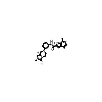 Cc1ccc(F)c2cc(C(=O)N[C@@H]3CCC[C@H](N4CCN5C(=O)N(C)C[C@@H]5C4)C3)[nH]c12